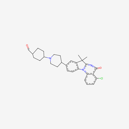 CC1(C)c2cc(C3CCN(C4CCC(C=O)CC4)CC3)ccc2-n2c1nc(=O)c1c(Cl)cccc12